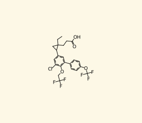 CCC1(CCC(=O)O)CC1c1cc(Cl)c(OCC(F)(F)F)c(-c2ccc(OC(F)(F)F)cc2)c1